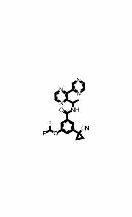 CC(NC(=O)c1cc(OC(F)F)cc(C2(C#N)CC2)c1)c1nccnc1-c1cnccn1